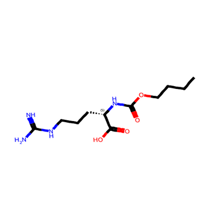 CCCCOC(=O)N[C@@H](CCCNC(=N)N)C(=O)O